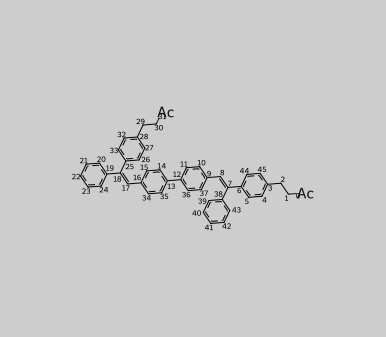 CC(=O)CCc1ccc(C(=Cc2ccc(-c3ccc(C=C(c4ccccc4)c4ccc(CCC(C)=O)cc4)cc3)cc2)c2ccccc2)cc1